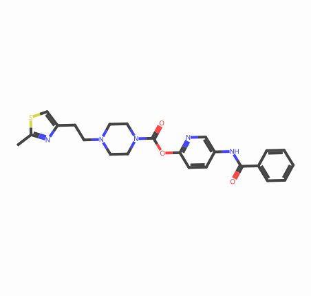 Cc1nc(CCN2CCN(C(=O)Oc3ccc(NC(=O)c4ccccc4)cn3)CC2)cs1